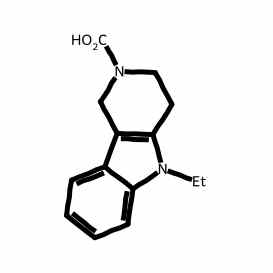 CCn1c2c(c3ccccc31)CN(C(=O)O)CC2